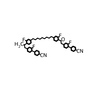 C=C(Cc1ccc(-c2ccc(C#N)cc2)c(F)c1)c1ccc(CCCCCCCCCc2ccc(C(=O)Cc3ccc(-c4ccc(C#N)cc4)c(F)c3)c(F)c2)cc1F